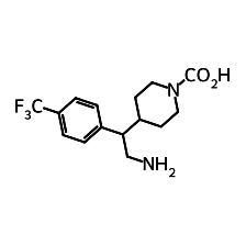 NCC(c1ccc(C(F)(F)F)cc1)C1CCN(C(=O)O)CC1